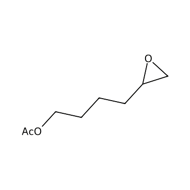 CC(=O)OCCCCC1CO1